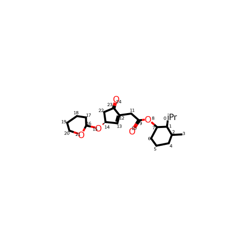 CC(C)C1C(C)CCCC1OC(=O)CC1=C[C@H](OC2CCCCO2)CC1=O